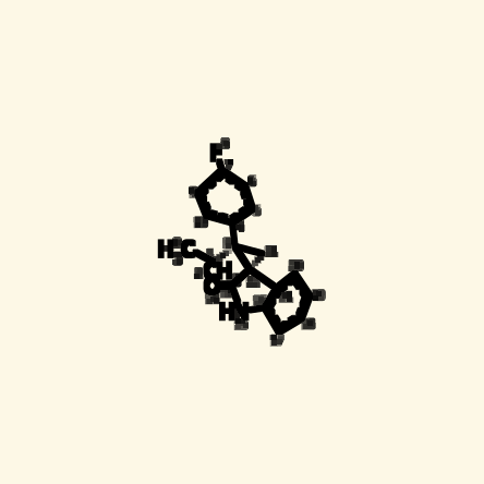 CC(C)[C@]1(c2ccc(F)cc2)C[C@]12C(=O)Nc1ccccc12